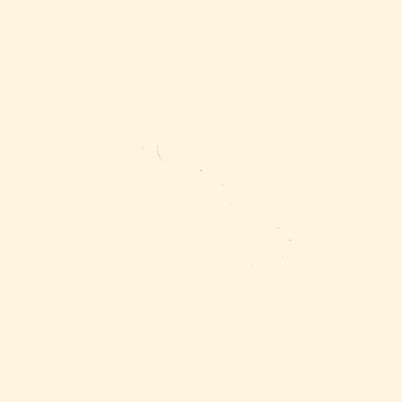 CCCC/C=C/CCCCCCCCOC(C)COC(C)C